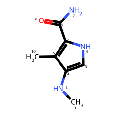 CNc1c[nH]c(C(N)=O)c1C